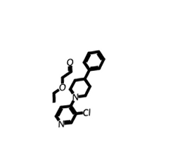 CCOCC=O.Clc1cnccc1N1CCC(c2ccccc2)CC1